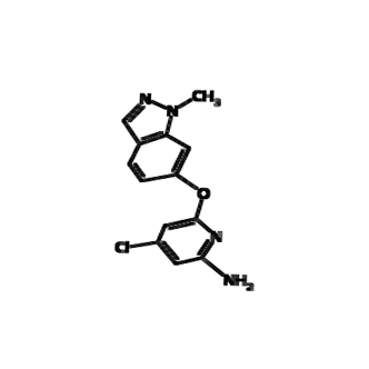 Cn1ncc2ccc(Oc3cc(Cl)cc(N)n3)cc21